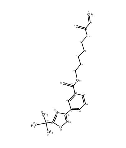 C=CC(=O)OCCCCCOC(=O)c1cccc(-c2noc(C(C)(C)C)n2)c1